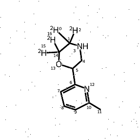 [2H]C1([2H])NCC(c2cccc(C)n2)OC1([2H])[2H]